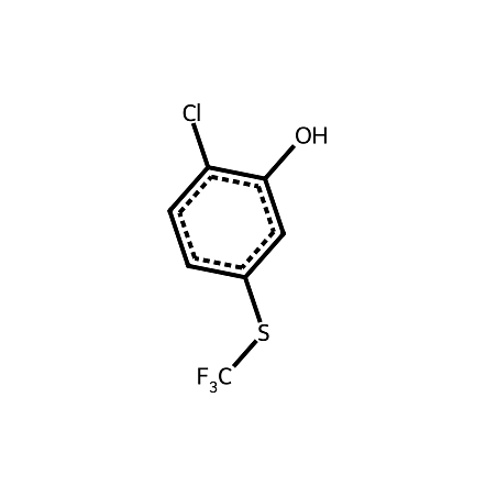 Oc1cc(SC(F)(F)F)ccc1Cl